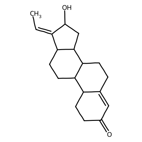 CC=C1C(O)CC2C1CCC1C3CCC(=O)C=C3CCC12